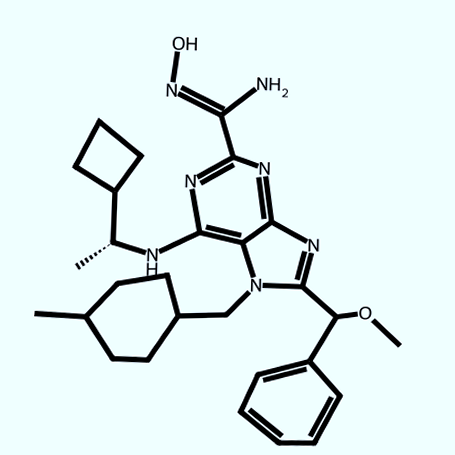 COC(c1ccccc1)c1nc2nc(C(N)=NO)nc(N[C@H](C)C3CCC3)c2n1CC1CCC(C)CC1